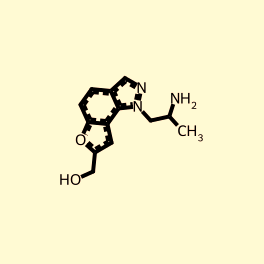 CC(N)Cn1ncc2ccc3oc(CO)cc3c21